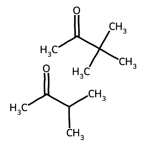 CC(=O)C(C)(C)C.CC(=O)C(C)C